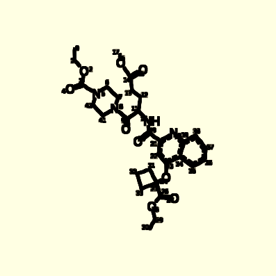 CCOC(=O)N1CCN(C(=O)C(CCC(=O)OC)NC(=O)c2cc(OC3(C(=O)OCC)CCC3)c3ccccc3n2)CC1